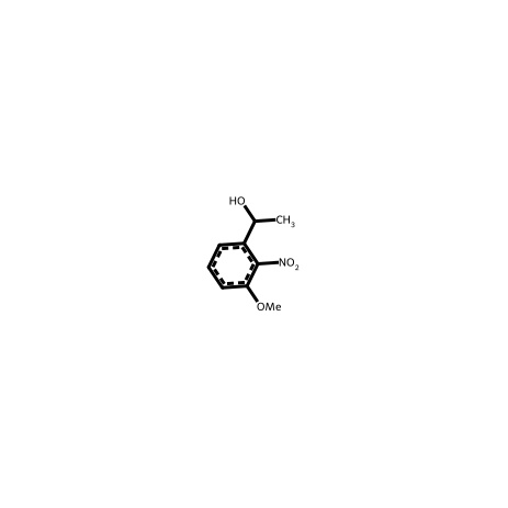 COc1cccc(C(C)O)c1[N+](=O)[O-]